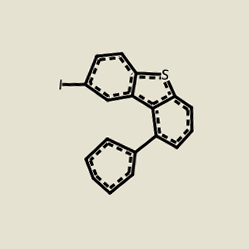 Ic1ccc2sc3cccc(-c4ccccc4)c3c2c1